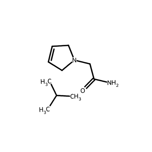 CC(C)C.NC(=O)CN1CC=CC1